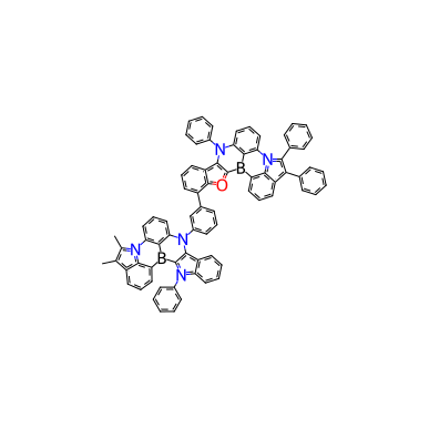 Cc1c(C)n2c3c(cccc13)B1c3c(cccc3-2)N(c2cccc(-c3cccc4c5c(oc34)B3c4c(cccc4-n4c(-c6ccccc6)c(-c6ccccc6)c6cccc3c64)N5c3ccccc3)c2)c2c1n(-c1ccccc1)c1ccccc21